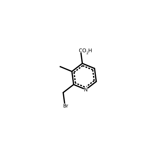 Cc1c(C(=O)O)ccnc1CBr